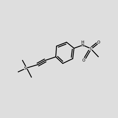 C[Si](C)(C)C#Cc1ccc(NS(C)(=O)=O)cc1